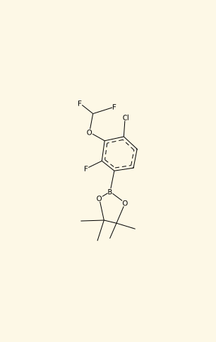 CC1(C)OB(c2ccc(Cl)c(OC(F)F)c2F)OC1(C)C